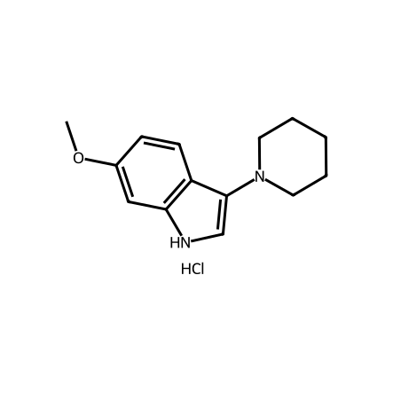 COc1ccc2c(N3CCCCC3)c[nH]c2c1.Cl